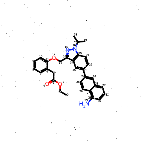 CCOC(=O)Cc1ccccc1OCc1nn(C(C)C)c2ccc(-c3ccc4c(N)cccc4c3)cc12